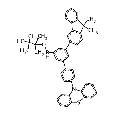 CC1(C)c2ccccc2-c2cc(-c3cc(BOC(C)(C)C(C)(C)O)cc(-c4ccc(N5c6ccccc6Sc6ccccc65)cc4)c3)ccc21